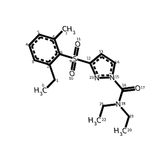 CCc1cccc(C)c1S(=O)(=O)c1ccn(C(=O)N(CC)CC)n1